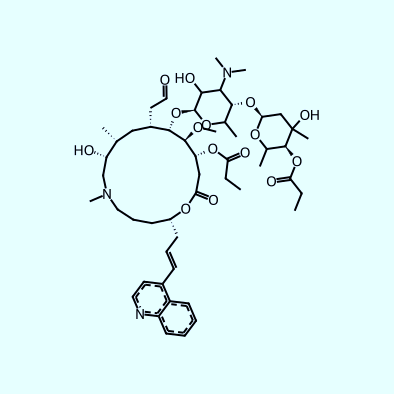 CCC(=O)O[C@@H]1CC(=O)O[C@H](C/C=C/c2ccnc3ccccc23)CCCN(C)C[C@H](O)[C@H](C)C[C@H](CC=O)[C@H](O[C@@H]2OC(C)[C@@H](O[C@H]3CC(C)(O)[C@@H](OC(=O)CC)C(C)O3)C(N(C)C)C2O)[C@H]1OC